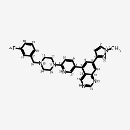 Cn1ccc(-c2cc(-c3ccc(N4CCN(Cc5cccc(F)c5)CC4)nc3)c3cncnc3c2)n1